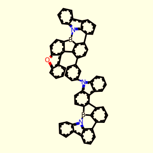 c1cc(-c2ccc3c4c2-c2c(ccc5oc6ccccc6c25)B4n2c4ccccc4c4cccc-3c42)cc(-n2c3ccccc3c3c4c(ccc32)B2c3c-4cccc3-c3cccc4c5ccccc5n2c34)c1